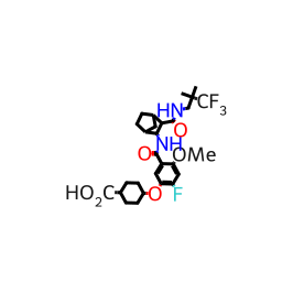 COc1cc(F)c(OC2CCC(C(=O)O)CC2)cc1C(=O)NC1C2CCC(C2)C1C(=O)NCC(C)(C)C(F)(F)F